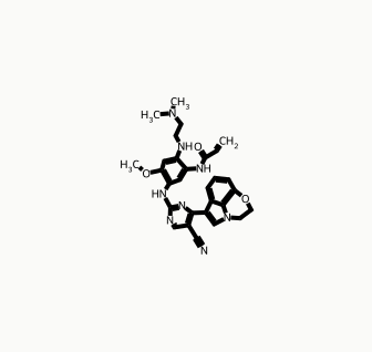 C=CC(=O)Nc1cc(Nc2ncc(C#N)c(-c3cn4c5c(cccc35)OCC4)n2)c(OC)cc1NCCN(C)C